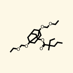 CCCC(C)(CC)C(=O)OC12CC3CC(OCOCC)(CC(OCOCC)(C3)C1)C2